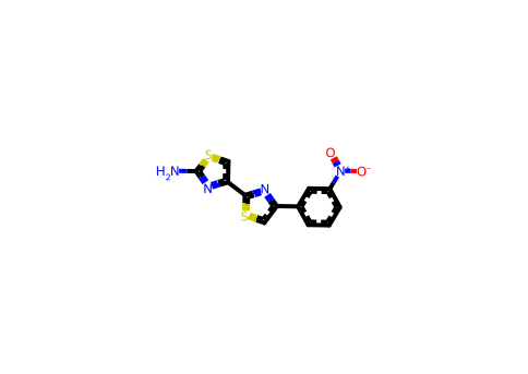 Nc1nc(-c2nc(-c3cccc([N+](=O)[O-])c3)cs2)cs1